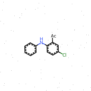 CC(=O)c1cc(Cl)ccc1Nc1ccccc1